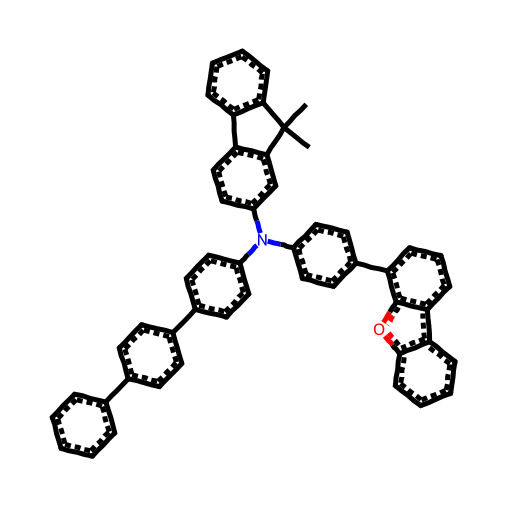 CC1(C)c2ccccc2-c2ccc(N(c3ccc(-c4ccc(-c5ccccc5)cc4)cc3)c3ccc(-c4cccc5c4oc4ccccc45)cc3)cc21